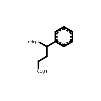 CCCCCCCC(CCC(=O)O)c1ccccc1